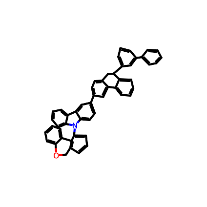 c1ccc(-c2cccc(C3Cc4ccc(-c5ccc6c(c5)c5ccccc5n6-c5cccc6c5-c5ccccc5OC6)cc4-c4ccccc43)c2)cc1